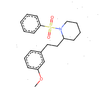 COc1cccc(CCC2CCCCN2S(=O)(=O)c2ccccc2)c1